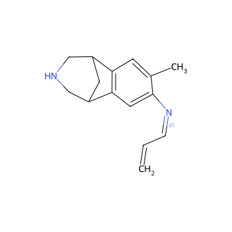 C=C/C=N\c1cc2c(cc1C)C1CNCC2C1